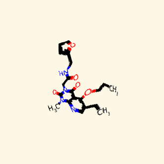 CCCOc1c(CC)cnc2c1c(=O)n(CC(=O)NCc1ccco1)c(=O)n2C